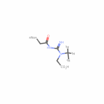 [2H]C([2H])([2H])N(CC(=O)O)C(=N)NC(=O)CCCCCCCCCC